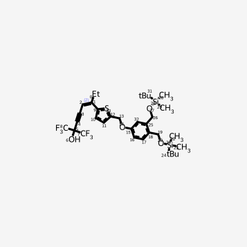 CC/C(=C/C#CC(O)(C(F)(F)F)C(F)(F)F)c1ccc(COc2ccc(CO[Si](C)(C)C(C)(C)C)c(CO[Si](C)(C)C(C)(C)C)c2)s1